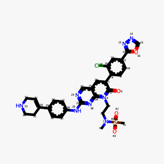 CN(CCn1c(=O)c(-c2ccc(-c3nnco3)cc2Cl)cc2cnc(Nc3ccc(C4=CCNCC4)cc3)nc21)S(C)(=O)=O